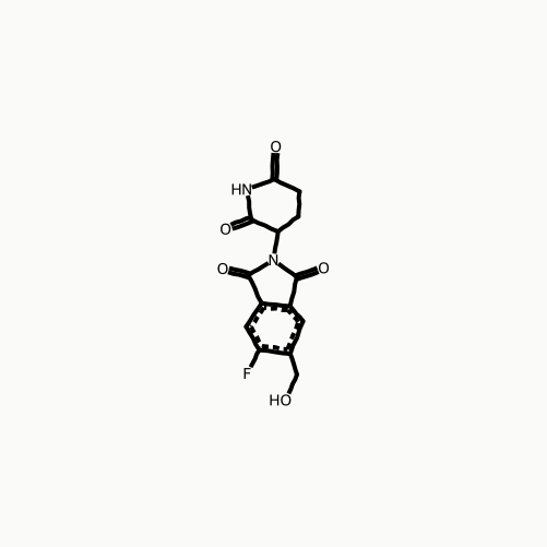 O=C1CCC(N2C(=O)c3cc(F)c(CO)cc3C2=O)C(=O)N1